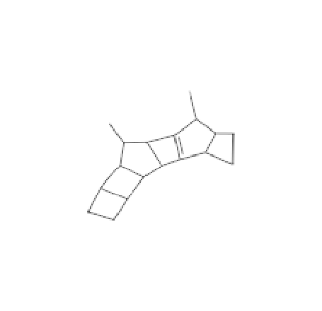 CC1C2=C(C3CCC13)C1C2C(C)C2C3CCC3C12